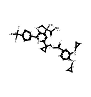 C[C@]1(C(N)=O)COc2c1cc(C1(CNC(=O)c3ccc(OC4CC4)c(OC4CC4)c3)CC1)nc2-c1ccc(C(F)(F)F)cc1